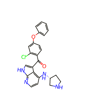 O=C(c1ccc(Oc2ccccc2)cc1Cl)c1c[nH]c2nccc(N[C@@H]3CCNC3)c12